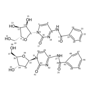 O=C(Nc1ccn([C@@H]2O[C@H](CO)[C@@H](O)[C@H]2O)c(=O)n1)c1ccccc1.O=C(Nc1ccn([C@H]2C[C@H](O)[C@@H](CO)O2)c(=O)n1)c1ccccc1